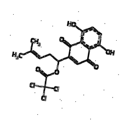 CC(C)=CCC(OC(=O)C(Cl)(Cl)Cl)C1=CC(=O)c2c(O)ccc(O)c2C1=O